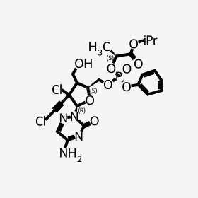 CC(C)OC(=O)[C@H](C)OP(=O)(OC[C@H]1O[C@@H](n2ncc(N)nc2=O)C(Cl)(C#CCl)C1CO)Oc1ccccc1